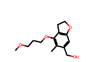 COCCCOc1c(C)c(CO)cc2c1CCO2